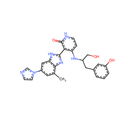 Cc1cc(-n2ccnc2)cc2[nH]c(-c3c(NC(CO)Cc4cccc(O)c4)cc[nH]c3=O)nc12